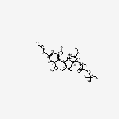 CCc1nn2c(-c3c(OC)cc(COC)cc3OC)c(C)oc2c1NC(=O)OC(C)(C)C